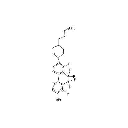 C=CCCC1CCC(c2ccc3c(c2F)C(F)(F)C(F)(F)c2c-3ccc(CCC)c2F)OC1